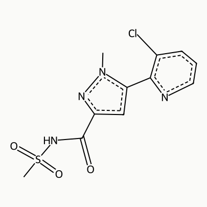 Cn1nc(C(=O)NS(C)(=O)=O)cc1-c1ncccc1Cl